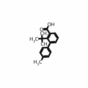 Cc1ccc(-c2cccc(C(=O)O)c2C(C)(C)C)cc1